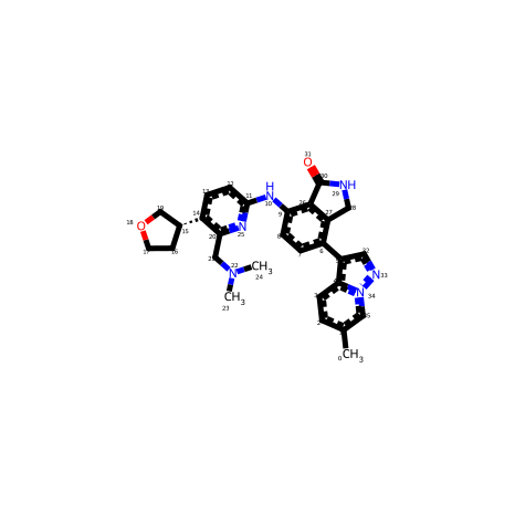 Cc1ccc2c(-c3ccc(Nc4ccc([C@@H]5CCOC5)c(CN(C)C)n4)c4c3CNC4=O)cnn2c1